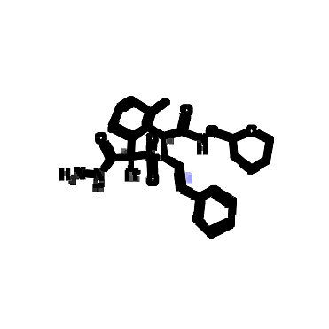 CC[C@](C(=O)NN)(c1cccc(C)c1[C@H](C/C=C/c1ccccc1)C(=O)NOC1CCCCO1)S(C)(=O)=O